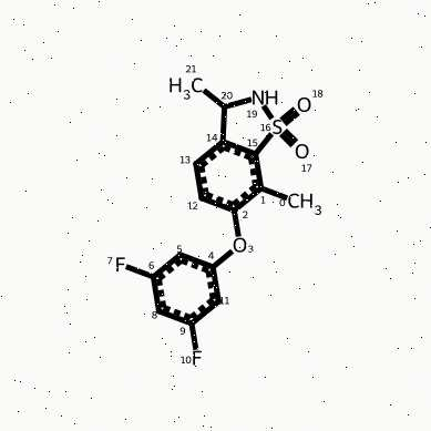 Cc1c(Oc2cc(F)cc(F)c2)ccc2c1S(=O)(=O)NC2C